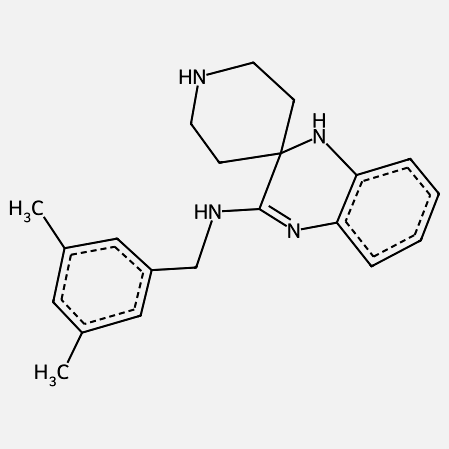 Cc1cc(C)cc(CNC2=Nc3ccccc3NC23CCNCC3)c1